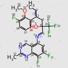 C/C=C(/CC(O)(/C=N/c1cc(F)c(F)c2nc(C)ncc12)C(F)(F)F)c1cccc(F)c1OC